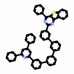 c1ccc(-c2cc(-c3ccccc3)nc(-c3cccc(-c4cccc(-c5cccc(-c6cccc(-c7nc(-c8ccccc8)c8sc9ccccc9c8n7)c6)c5)c4)c3)c2)cc1